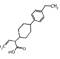 C=CC(C(=O)O)C1CCC(c2ccc(CC)cc2)CC1